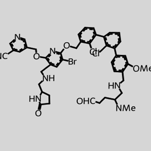 CNC(CCC=O)CNCc1ccc(-c2cccc(-c3cccc(COc4nc(OCc5cncc(C#N)c5)c(CNCC5CCC(=O)N5)cc4Br)c3Cl)c2Cl)cc1OC